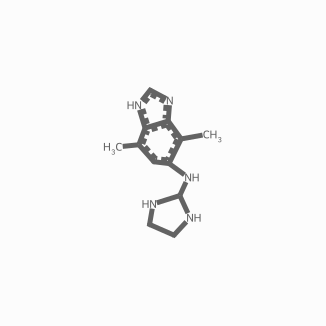 Cc1c(NC2NCCN2)cc(C)c2[nH]cnc12